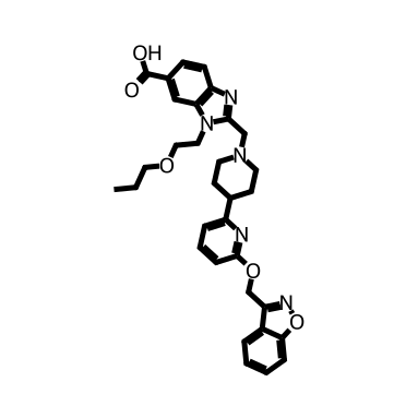 CCCOCCn1c(CN2CCC(c3cccc(OCc4noc5ccccc45)n3)CC2)nc2ccc(C(=O)O)cc21